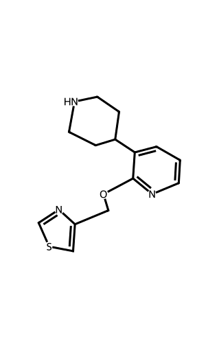 c1cnc(OCc2cscn2)c(C2CCNCC2)c1